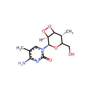 Cc1cn([C@@H]2OC(CO)[C@@H](C)C3OO[C@@H]32)c(=O)nc1N